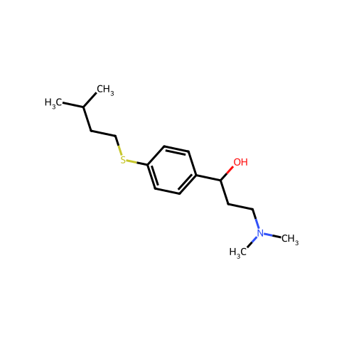 CC(C)CCSc1ccc(C(O)CCN(C)C)cc1